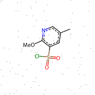 COc1ncc(C)cc1S(=O)(=O)Cl